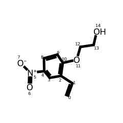 C=Cc1cc([N+](=O)[O-])ccc1OCCO